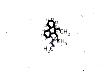 C=C/C=C\N(C)Cc1c(C=C)c2ccccc2c2ccccc12